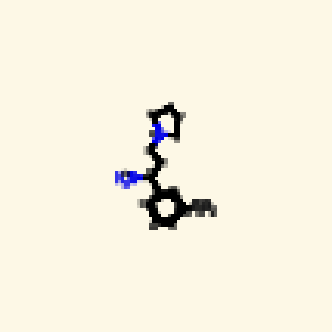 NC(CCN1CCCC1)c1cccc([N+](=O)[O-])c1